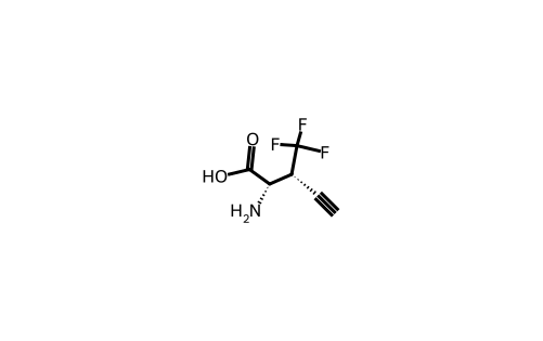 C#C[C@H]([C@H](N)C(=O)O)C(F)(F)F